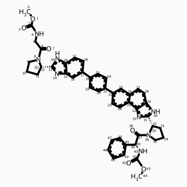 COC(=O)NCC(=O)N1CCC[C@H]1c1nc2cc(-c3ccc(-c4ccc5c(ccc6[nH]c([C@@H]7CCCN7C(=O)[C@H](NC(=O)OC)c7ccccc7)nc65)c4)cc3)ccc2[nH]1